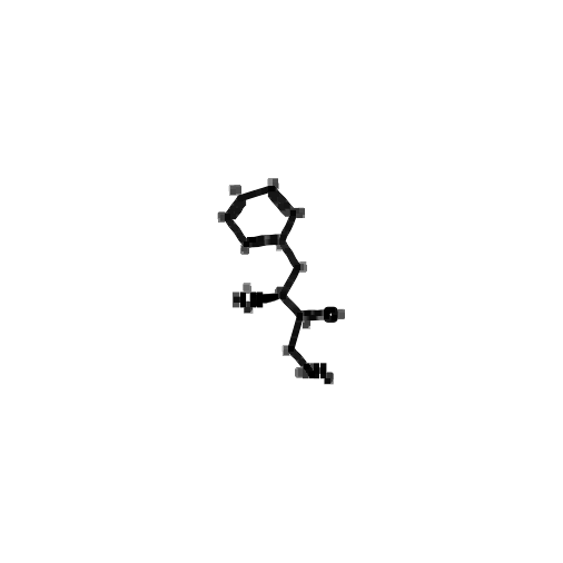 NCC(=O)[C@@H](N)Cc1ccccc1